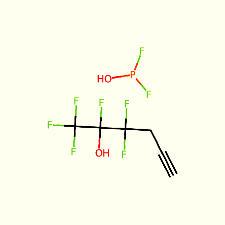 C#CCC(F)(F)C(O)(F)C(F)(F)F.OP(F)F